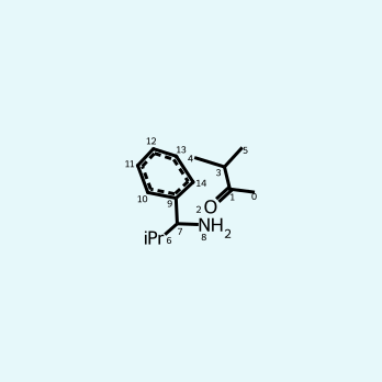 CC(=O)C(C)C.CC(C)C(N)c1ccccc1